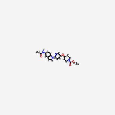 CC(C)C(=O)N(C)c1ccc2c(ccn2-c2ccc(OC3CCN(C(=O)OC(C)(C)C)CC3)cn2)c1